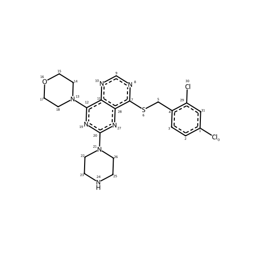 Clc1ccc(CSc2ncnc3c(N4CCOCC4)nc(N4CCNCC4)nc23)c(Cl)c1